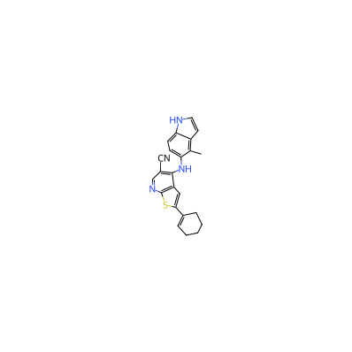 Cc1c(Nc2c(C#N)cnc3sc(C4=CCCCC4)cc23)ccc2[nH]ccc12